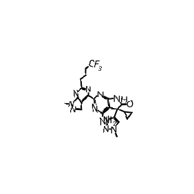 Cn1cc(C2(C3CC3)C(=O)Nc3nc(-c4nc(CCCC(F)(F)F)nc5c4cnn5C)nc(N)c32)nn1